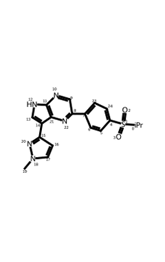 CC(C)S(=O)(=O)c1ccc(-c2cnc3[nH]cc(-c4ccn(C)n4)c3n2)cc1